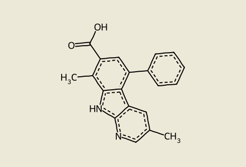 Cc1cnc2[nH]c3c(C)c(C(=O)O)cc(-c4ccccc4)c3c2c1